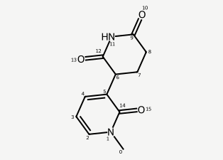 Cn1cccc(C2CCC(=O)NC2=O)c1=O